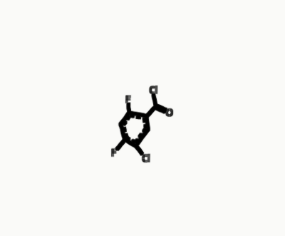 O=C(Cl)c1cc(Cl)c(F)cc1F